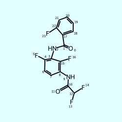 O=C(Nc1c(F)ccc(NC(=O)C(F)F)c1F)c1ccccc1F